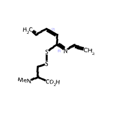 C=C/C=C\C(=N/C=C)SSCC(NC)C(=O)O